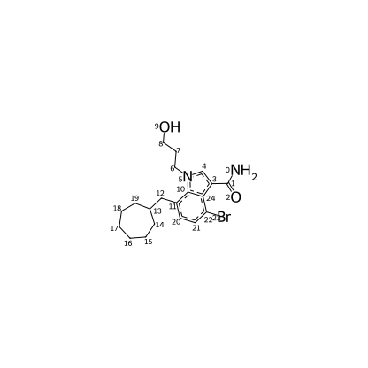 NC(=O)c1cn(CCCO)c2c(CC3CCCCCC3)ccc(Br)c12